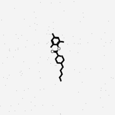 CCCCCC1CCC(C(=O)Oc2c(C)cc(C)cc2C)CC1